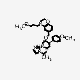 COCCCN1CCOc2ccc(CO[C@H]3CN[C@@H](C[C@@H](C)n4ccnc4)C[C@@H]3c3ccc(OC)cc3)cc21